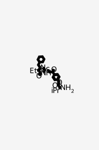 CCc1c(CC2CCCCC2)nc(SCC(=O)c2ccc(OC(=O)C(N)C(C)C)cc2)[nH]c1=O